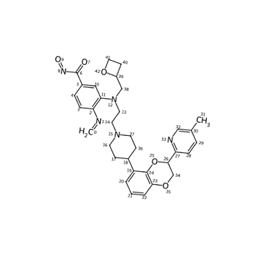 C=Nc1ccc(C(=O)N=O)cc1N(CCN1CCC(c2cccc3c2OC(c2ccc(C)cn2)CO3)CC1)CC1CCO1